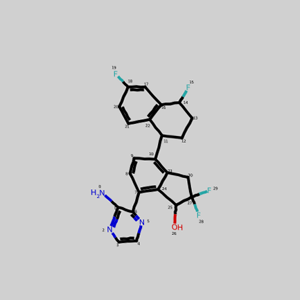 Nc1nccnc1-c1ccc(C2CCC(F)c3cc(F)ccc32)c2c1C(O)C(F)(F)C2